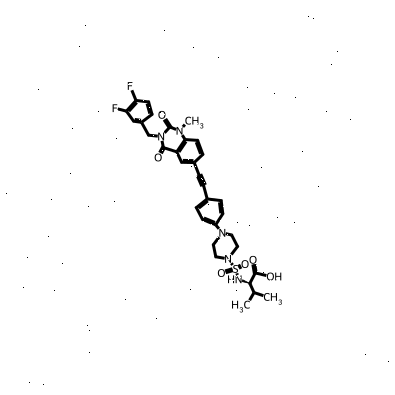 CC(C)[C@@H](NS(=O)(=O)N1CCN(c2ccc(C#Cc3ccc4c(c3)c(=O)n(Cc3ccc(F)c(F)c3)c(=O)n4C)cc2)CC1)C(=O)O